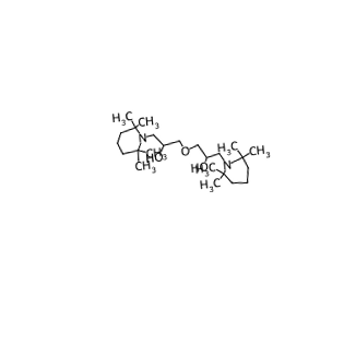 CC1(C)CCCC(C)(C)N1CC(O)COCC(O)CN1C(C)(C)CCCC1(C)C